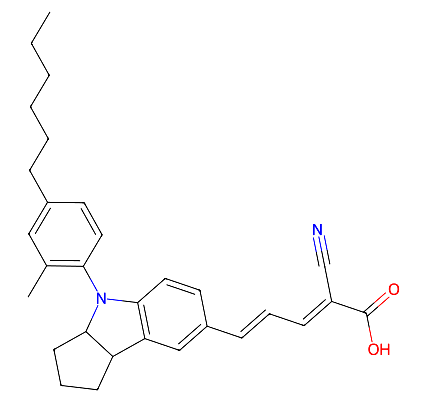 CCCCCCc1ccc(N2c3ccc(/C=C/C=C(\C#N)C(=O)O)cc3C3CCCC32)c(C)c1